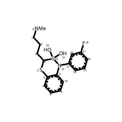 CNCCCC1Sc2ccccc2N(c2cccc(F)c2)S1(O)O